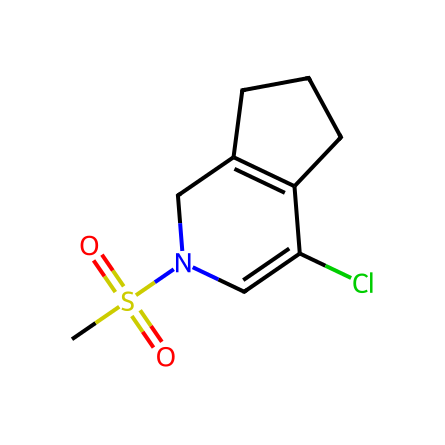 CS(=O)(=O)N1C=C(Cl)C2=C(CCC2)C1